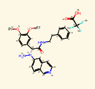 CCOc1cc([C@H](C(=O)NCCc2ccccc2)N(N)c2ccc3cnccc3c2)ccc1OC(C)C.O=C(O)C(F)(F)F